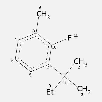 CCC(C)(C)c1cccc(C)c1F